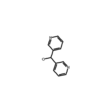 [O]C(c1cccnc1)c1cccnc1